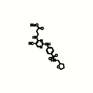 COC(=O)CCNc1nc(Nc2ccc(S(=O)(=O)NCC3CCCO3)cc2)ncc1C#N